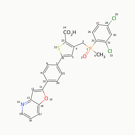 CP(=O)(Cc1cc(-c2ccc(-c3cc4ncccc4o3)cc2)sc1C(=O)O)c1ccc(Cl)cc1Cl